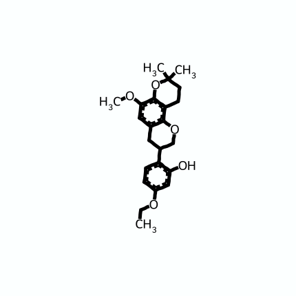 CCOc1ccc(C2COc3c(cc(OC)c4c3CCC(C)(C)O4)C2)c(O)c1